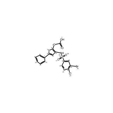 O=C(O)Oc1sc(-c2ccccc2)cc1NS(=O)(=O)c1cnc(Cl)c(Br)c1